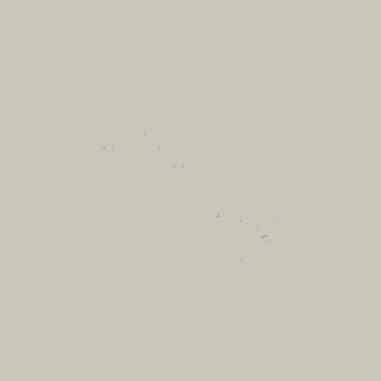 C=CC(=O)OCCC(=O)OCCCCc1ccc2ccc3cccc4ccc1c2c34